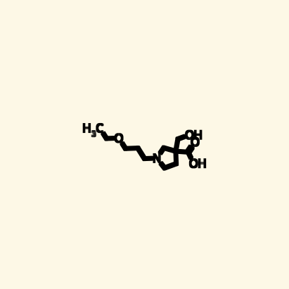 CCOCCCN1CCC(CO)(C(=O)O)C1